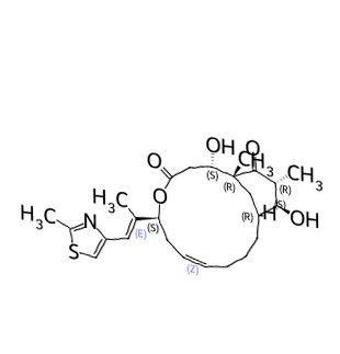 C/C(=C\c1csc(C)n1)[C@@H]1C/C=C\CCC[C@@H]2C[C@@](C)(C(=O)[C@H](C)[C@H]2O)[C@@H](O)CC(=O)O1